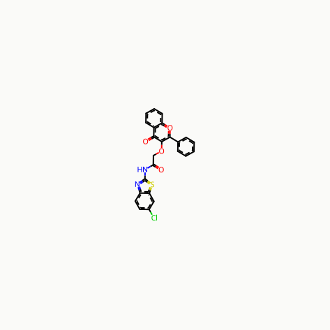 O=C(COc1c(-c2ccccc2)oc2ccccc2c1=O)Nc1nc2ccc(Cl)cc2s1